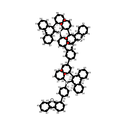 c1ccc(-c2c(N(c3ccc4c(c3)sc3ccc(-c5cccc(-c6c(N(c7ccccc7)c7ccc(-c8cccc9c8oc8ccccc89)cc7)c7ccccc7c7ccccc67)c5)cc34)c3ccccc3-c3cccc4sc5ccccc5c34)c3ccccc3c3ccccc23)cc1